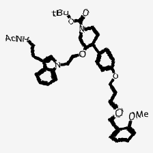 COc1ccccc1COCCCOc1ccc(C2CCN(C(=O)OC(C)(C)C)CC2OCCn2cc(CCNC(C)=O)c3ccccc32)cc1